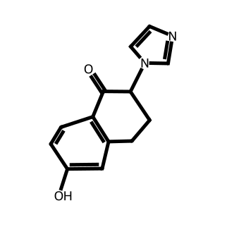 O=C1c2ccc(O)cc2CCC1n1ccnc1